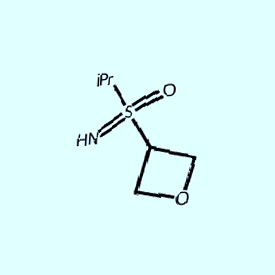 CC(C)S(=N)(=O)C1COC1